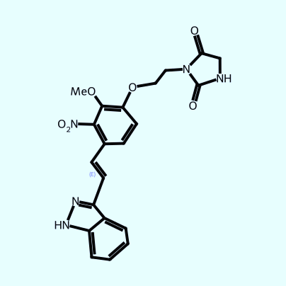 COc1c(OCCN2C(=O)CNC2=O)ccc(/C=C/c2n[nH]c3ccccc23)c1[N+](=O)[O-]